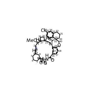 CO[C@H]1/C=C/[C@@H]2CCC[C@H](C2)S(=O)(=O)NC(=O)c2ccc3c(c2)N(C[C@@H]2CC[C@H]21)C[C@@]1(CCCc2cc(Cl)ccc21)CO3